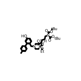 CCOP1(=O)CCN(Cc2ccc(O)cc2-c2ccc(C)cc2)C[C@@]1(CCCCN(C(=O)OC(C)(C)C)C(=O)OC(C)(C)C)C(=O)O